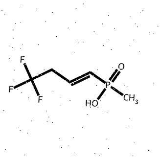 CP(=O)(O)C=CCC(F)(F)F